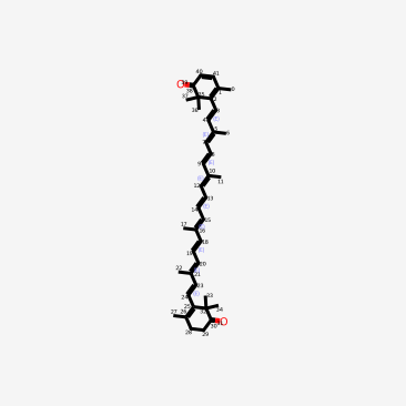 CC1=C(/C=C/C(C)=C/C=C/C(C)=C/C=C/C=C(C)/C=C/C=C(C)/C=C/C2=C(C)CCC(=O)C2(C)C)C(C)(C)C(=O)C=C1